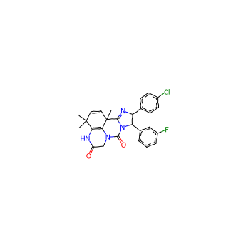 CC1(C)C=CC2(C)C3=NC(c4ccc(Cl)cc4)C(c4cccc(F)c4)N3C(=O)N3CC(=O)NC1=C32